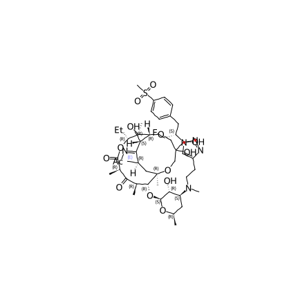 CC[C@H]1OC(=O)[C@H](C)C(=O)[C@H](C)[C@@H](O[C@@H]2O[C@H](C)C[C@H](N(C)CCc3cn([C@H](CF)Cc4ccc(S(C)(=O)=O)cc4)nn3)[C@H]2O)[C@@]2(C)C[C@@H](C)/C(=N\C(C)=O)[C@H](C)[C@@H](OCC(O)(CO)CO2)[C@]1(C)O